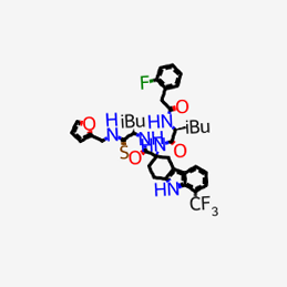 CCC(C)[C@H](NC(=O)Cc1ccccc1F)C(=O)N[C@]1(C(=O)NC(C(=S)NCc2ccco2)[C@@H](C)CC)CCc2[nH]c3c(C(F)(F)F)cccc3c2C1